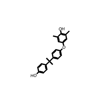 Cc1cc(Oc2ccc(C(C)(C)c3ccc(O)cc3)cc2)cc(C)c1O